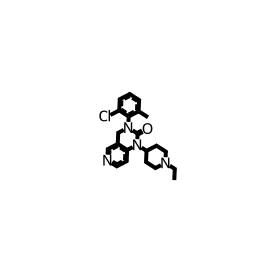 CCN1CCC(N2C(=O)N(c3c(C)cccc3Cl)Cc3cnccc32)CC1